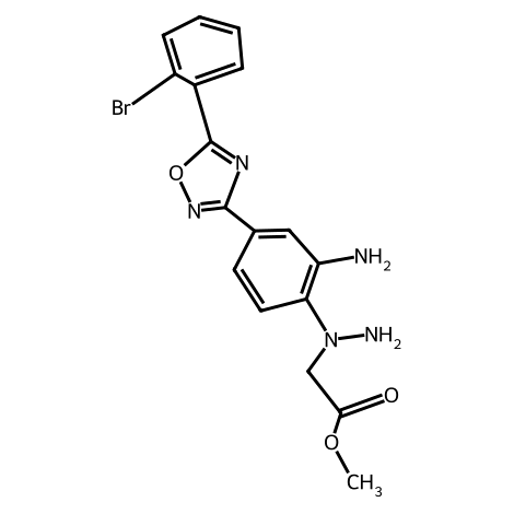 COC(=O)CN(N)c1ccc(-c2noc(-c3ccccc3Br)n2)cc1N